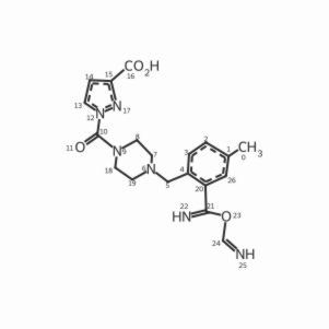 Cc1ccc(CN2CCN(C(=O)n3ccc(C(=O)O)n3)CC2)c(C(=N)OC=N)c1